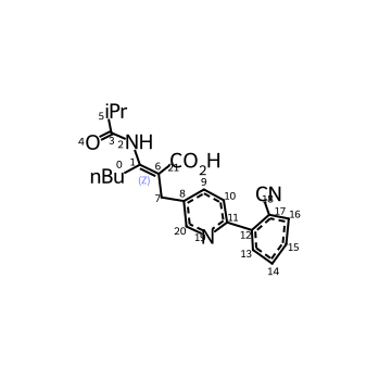 CCCC/C(NC(=O)C(C)C)=C(\Cc1ccc(-c2ccccc2C#N)nc1)C(=O)O